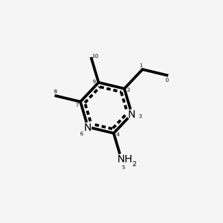 CCc1nc(N)nc(C)c1C